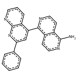 Nc1nccc2c(-c3cc(-c4ccccc4)nc4ncccc34)nccc12